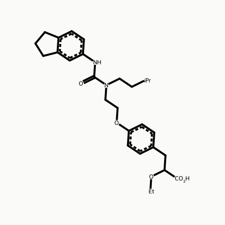 CCOC(Cc1ccc(OCCN(CCC(C)C)C(=O)Nc2ccc3c(c2)CCC3)cc1)C(=O)O